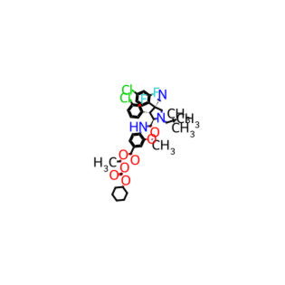 COc1cc(C(=O)OC(C)OC(=O)OC2CCCCC2)ccc1NC(=O)[C@H]1[C@H](c2cccc(Cl)c2F)[C@@](C#N)(c2ccc(Cl)cc2F)CN1CC(C)(C)C